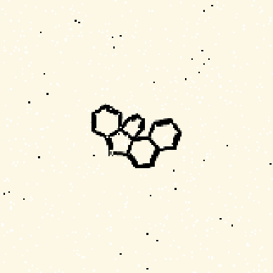 C1=CC2=CC=C3N=C4C=CC=CC45C=CC=CC35C2C=C1